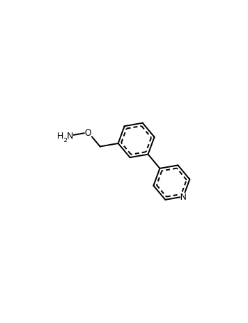 NOCc1cccc(-c2ccncc2)c1